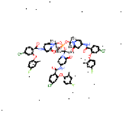 Cc1cc(F)ccc1Oc1cc(Cl)ccc1C(=O)Nc1ccn(C(OP(=O)(OC(n2ccc(NC(=O)c3ccc(Cl)cc3Oc3ccc(F)cc3C)cc2=O)(C(C)(C)C)C(C)(C)C)OC(n2ccc(NC(=O)c3ccc(Cl)cc3Oc3ccc(F)cc3C)cc2=O)(C(C)(C)C)C(C)(C)C)(C(C)(C)C)C(C)(C)C)c(=O)c1